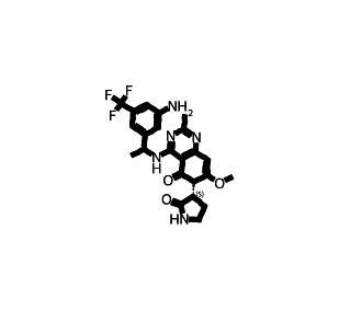 COC1=Cc2nc(C)nc(NC(C)c3cc(N)cc(C(F)(F)F)c3)c2C(=O)C1[C@@H]1CCNC1=O